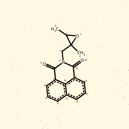 CC1OC1(C)CN1C(=O)c2cccc3cccc(c23)C1=O